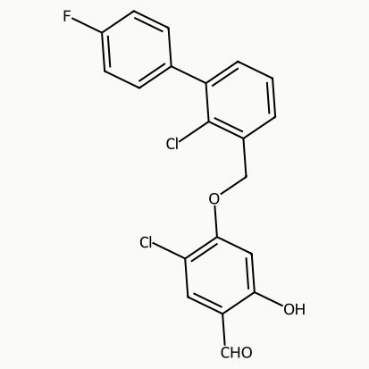 O=Cc1cc(Cl)c(OCc2cccc(-c3ccc(F)cc3)c2Cl)cc1O